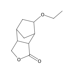 CCOC1CC2CC1C1C(=O)OCC21